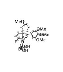 COc1cc(C(=O)C2CCC(OC)CC2c2ccc(F)c(OOP(=O)(O)O)c2)cc(OC)c1OC